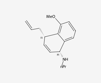 C=CC[C@H]1C=C[C@@H](NCCC)c2cccc(OC)c21